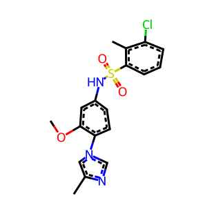 COc1cc(NS(=O)(=O)c2cccc(Cl)c2C)ccc1-n1cnc(C)c1